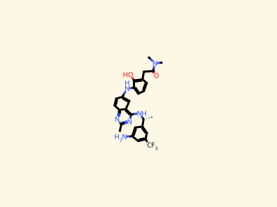 Cc1nc(N[C@H](C)c2cc(N)cc(C(F)(F)F)c2)c2cc(Nc3cccc(CC(=O)N(C)C)c3O)ccc2n1